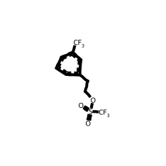 O=S(=O)(OCCc1cccc(C(F)(F)F)c1)C(F)(F)F